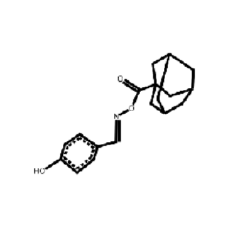 O=C(O/N=C/c1ccc(O)cc1)C12CC3CC(CC(C3)C1)C2